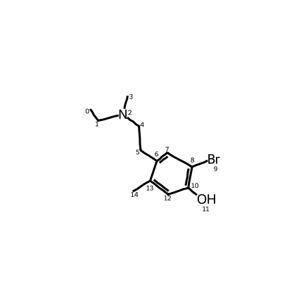 CCN(C)CCc1cc(Br)c(O)cc1C